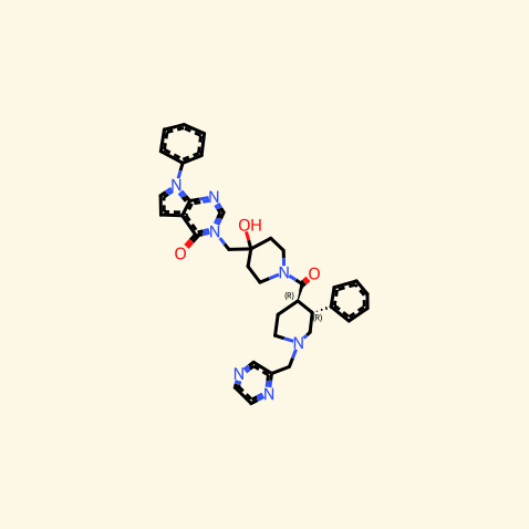 O=C([C@@H]1CCN(Cc2cnccn2)C[C@H]1c1ccccc1)N1CCC(O)(Cn2cnc3c(ccn3-c3ccccc3)c2=O)CC1